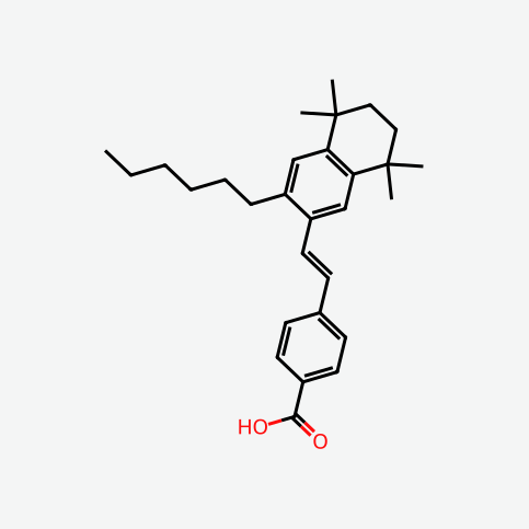 CCCCCCc1cc2c(cc1/C=C/c1ccc(C(=O)O)cc1)C(C)(C)CCC2(C)C